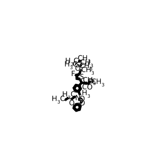 CCC[C@@H]1CN(Cc2cc(C(c3cc(F)c(C(C)O[Si](C)(C)C(C)(C)C)s3)C(C)(C)C(=O)OC)ccc2C)S(=O)(=O)c2ccccc2O1